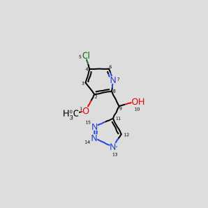 COc1cc(Cl)cnc1C(O)C1=C[N]N=N1